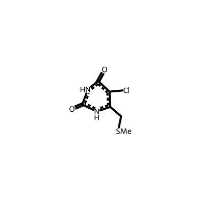 CSCc1[nH]c(=O)[nH]c(=O)c1Cl